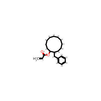 C=CC(=O)OC1CCCCCCCCCCC1Cc1ccccc1